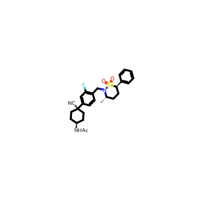 CC(=O)N[C@H]1CC[C@](C#N)(c2ccc(CN3[C@@H](C)CC[C@H](c4ccccc4)S3(=O)=O)c(F)c2)CC1